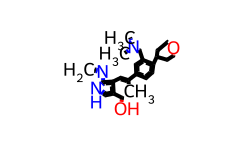 C=Nc1[nH]cc(CO)c1/C=C(\C)c1ccc(C2CCOCC2)c(CN(C)C)c1